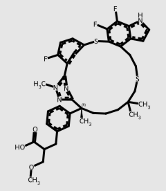 COCC(Cc1cccc([C@@]2(C)CCCC(C)(C)CSCCc3c(c(F)c(F)c4[nH]ccc34)Sc3ccc(F)c(c3)-c3nc2nn3C)c1)C(=O)O